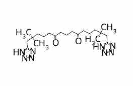 CC(C)(CCCC(=O)CCCC(=O)CCCC(C)(C)Cc1nnn[nH]1)Cc1nnn[nH]1